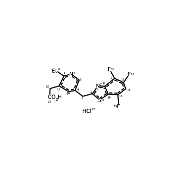 CCc1ncc(Cc2nc3c(F)c(F)cc(F)c3s2)cc1CC(=O)O.Cl